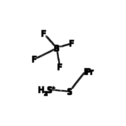 CC(C)S[SH2+].F[B-](F)(F)F